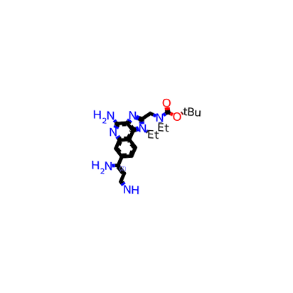 CCN(Cc1nc2c(N)nc3cc(/C(N)=C/C=N)ccc3c2n1CC)C(=O)OC(C)(C)C